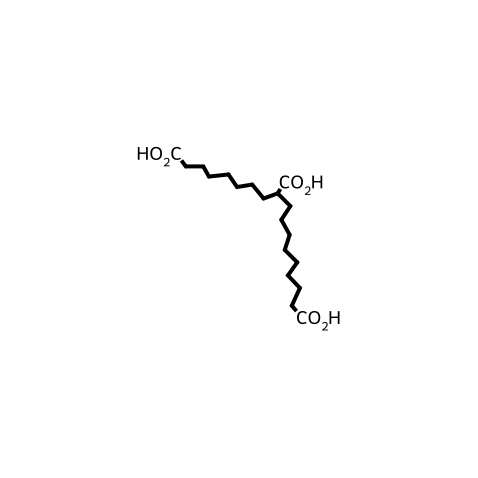 O=C(O)CCCCCCCCC(CCCCCCCC(=O)O)C(=O)O